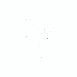 CC[C@H](C)[C@H](NC(=O)[C@H](Cc1ccc(O)cc1)NC(=O)[C@H](CC(=O)O)NC(=O)[C@H](CO)NC(=O)[C@@H](N)CC(C)C)C(=O)N[C@@H](CC(C)C)C(=O)O